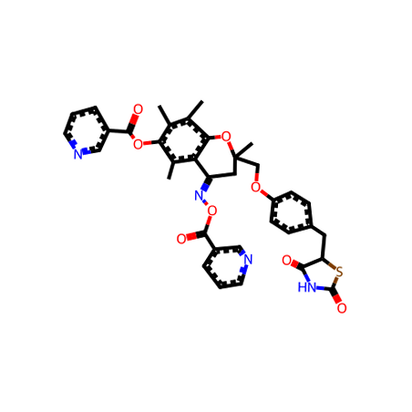 Cc1c(C)c2c(c(C)c1OC(=O)c1cccnc1)C(=NOC(=O)c1cccnc1)CC(C)(COc1ccc(CC3SC(=O)NC3=O)cc1)O2